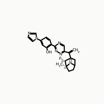 C=C(c1cnc(-c2ccc(-n3ccnc3)cc2O)nn1)C1CC2CC[C@](C)(N2)[C@@H]1F